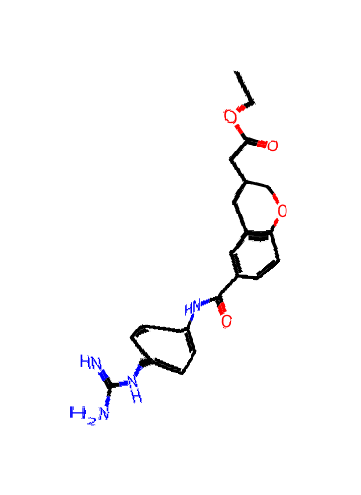 CCOC(=O)CC1COc2ccc(C(=O)Nc3ccc(NC(=N)N)cc3)cc2C1